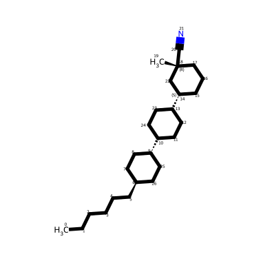 CCCCCC[C@H]1CC[C@H](C2CCC([C@H]3CCC[C@@](C)(C#N)C3)CC2)CC1